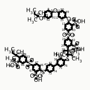 CCC(C)(C)Oc1ccc(Oc2ccc(Oc3ccc(S(=O)(=O)c4ccc([C@@](C)(CC)C(C)(CC)Sc5ccc(-c6ccc(Sc7ccc(S(=O)(=O)c8ccc(C(C)(C)CC)c(S(=O)(=O)O)c8)cc7S(=O)(=O)O)cc6)cc5)c(S(=O)(=O)O)c4)cc3S(=O)(=O)O)cc2)cc1